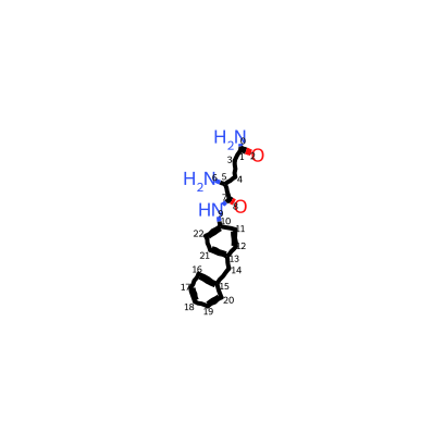 NC(=O)CCC(N)C(=O)Nc1ccc(Cc2ccccc2)cc1